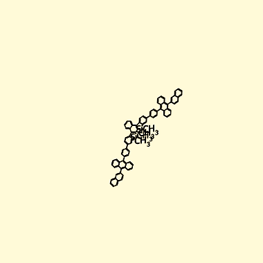 C[Si]1(C)c2cc(-c3ccc(-c4c5ccccc5c(-c5ccc6ccccc6c5)c5ccccc45)cc3)ccc2-c2c1c1c(c3ccccc23)-c2ccc(-c3ccc(-c4c5ccccc5c(-c5ccc6ccccc6c5)c5ccccc45)cc3)cc2[Si]1(C)C